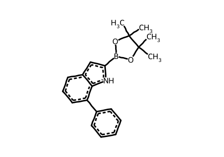 CC1(C)OB(c2cc3cccc(-c4ccccc4)c3[nH]2)OC1(C)C